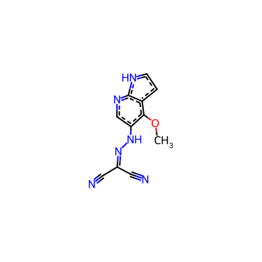 COc1c(NN=C(C#N)C#N)cnc2[nH]ccc12